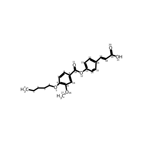 CCCCCOc1ccc(C(=O)Oc2ccc(/C=C/C(=O)O)cc2)cc1OC